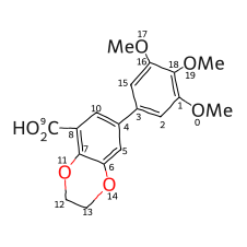 COc1cc(-c2cc3c(c(C(=O)O)c2)OCCO3)cc(OC)c1OC